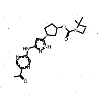 CC(=O)c1cnc(Nc2cc([C@H]3CC[C@@H](OC(=O)N4CCC4(C)C)C3)[nH]n2)cn1